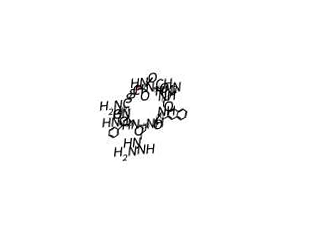 C[C@@H]1C(=O)N[C@@H](Cc2cnc[nH]2)C(=O)N[C@H](Cc2ccc3ccccc3c2)C(=O)N[C@@H](CCCNC(=N)N)C(=O)N[C@@H](Cc2c[nH]c3ccccc23)C(=O)N[C@H](C(N)=O)CSSC[C@@H]2NC(=O)N1C2=O